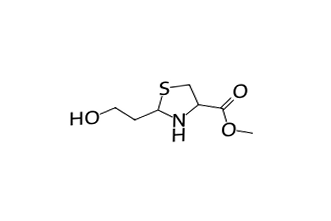 COC(=O)C1CSC(CCO)N1